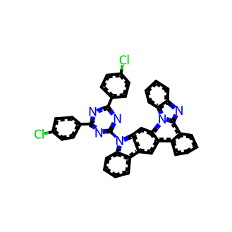 Clc1ccc(-c2nc(-c3ccc(Cl)cc3)nc(-n3c4ccccc4c4cc5c6ccccc6c6nc7ccccc7n6c5cc43)n2)cc1